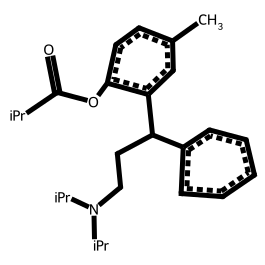 Cc1ccc(OC(=O)C(C)C)c(C(CCN(C(C)C)C(C)C)c2ccccc2)c1